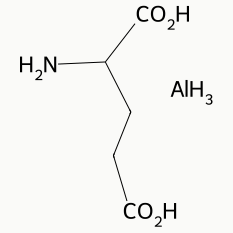 NC(CCC(=O)O)C(=O)O.[AlH3]